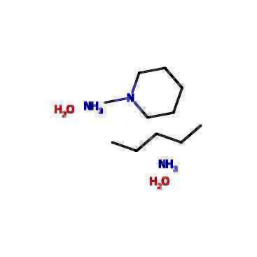 CCCCC.CN1CCCCC1.N.N.O.O